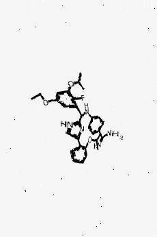 CCOc1cc(OC(C)C)c(F)c(C(Nc2ccc(C(=N)N)cc2)c2nc(-c3ccccc3OC(C)C)c[nH]2)c1